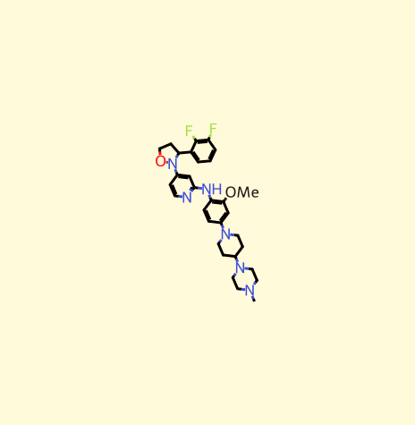 COc1cc(N2CCC(N3CCN(C)CC3)CC2)ccc1Nc1cc(N2OCCC2c2cccc(F)c2F)ccn1